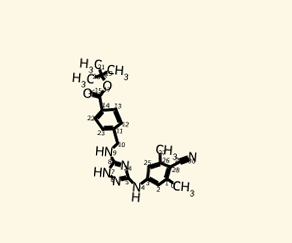 Cc1cc(Nc2n[nH]c(NCc3ccc(C(=O)OC(C)(C)C)cc3)n2)cc(C)c1C#N